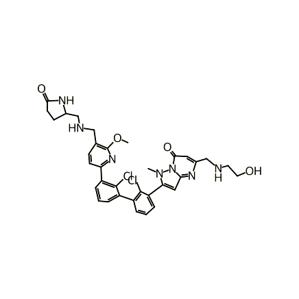 COc1nc(-c2cccc(-c3cccc(-c4cc5nc(CNCCO)cc(=O)n5n4C)c3Cl)c2Cl)ccc1CNCC1CCC(=O)N1